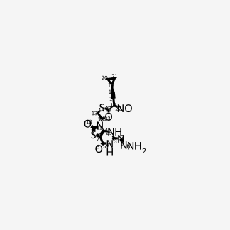 NN=NC1NC(=O)c2sc(=O)n([C@H]3CS[C@@H](C(C#CC4CC4)N=O)O3)c2N1